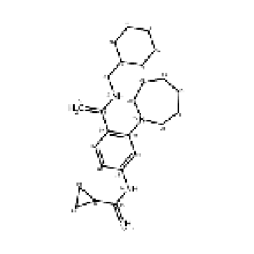 C=C(NCC1CCCCC1)c1ccc(NC(=C)C2CC2)cc1N1CCCCCC1